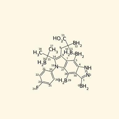 Bc1n[nH]c2c(B)c3c(CC(B)(B)C(=O)O)c(C(B)(C)C)n(-c4ccc(F)cc4)c3c(B)c12